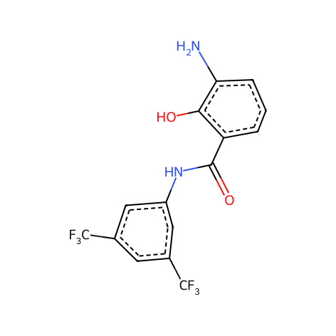 Nc1cccc(C(=O)Nc2cc(C(F)(F)F)cc(C(F)(F)F)c2)c1O